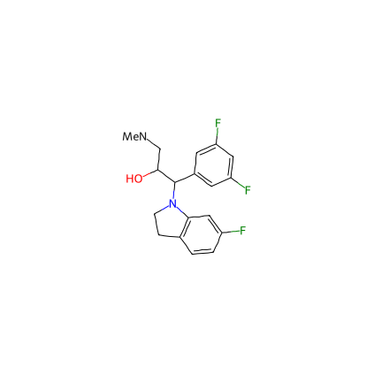 CNCC(O)C(c1cc(F)cc(F)c1)N1CCc2ccc(F)cc21